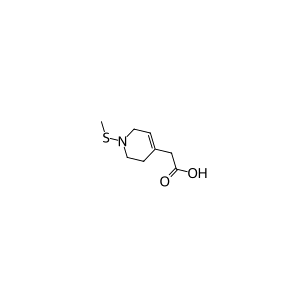 CSN1CC=C(CC(=O)O)CC1